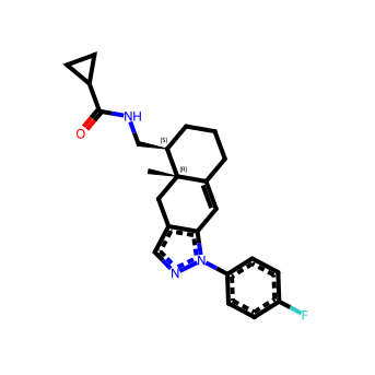 C[C@]12Cc3cnn(-c4ccc(F)cc4)c3C=C1CCC[C@@H]2CNC(=O)C1CC1